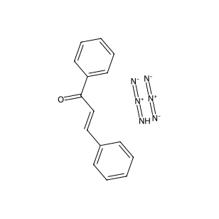 O=C(C=Cc1ccccc1)c1ccccc1.[N-]=[N+]=N.[N-]=[N+]=[N-]